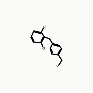 Clc1cccc(Cl)c1Cc1ccc(CBr)cc1